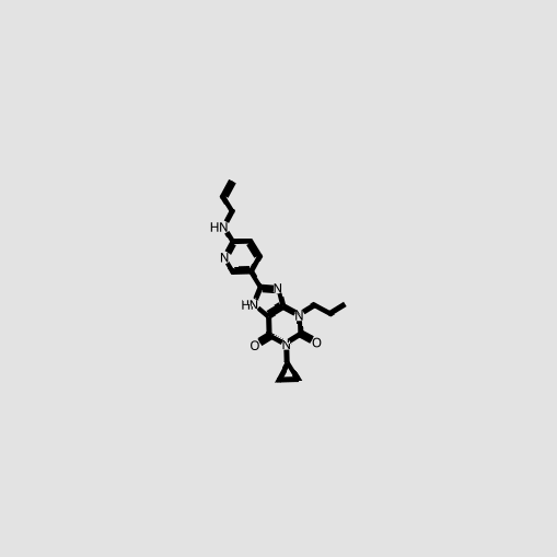 C=CCNc1ccc(-c2nc3c([nH]2)c(=O)n(C2CC2)c(=O)n3CCC)cn1